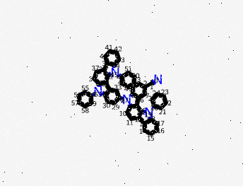 N#Cc1ccc2c(c1)c1c(ccc3c4ccccc4n(-c4ccccc4)c31)n2-c1ccc2c(c1)c1c(ccc3c4ccccc4n(-c4ccccc4)c31)n2-c1ccccc1